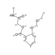 CCOCOc1ccccc1C(=O)OCC(=O)NC